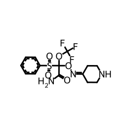 NC(=O)C(ON=C1CCNCC1)(OC(F)(F)F)S(=O)(=O)c1ccccc1